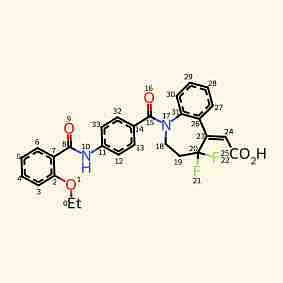 CCOc1ccccc1C(=O)Nc1ccc(C(=O)N2CCC(F)(F)C(=CC(=O)O)c3ccccc32)cc1